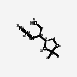 CC1(C)OC[C@@H]([C@H](CO)N=[N+]=[N-])O1